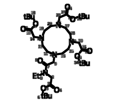 CCN(CC(=O)OC(C)(C)C)C(=O)CN1CCN(CC(=O)OC(C)(C)C)CCN(CC(=O)OC(C)(C)C)CCN(CC(=O)OC(C)(C)C)CC1